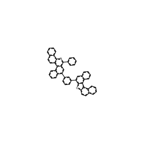 c1ccc(-c2nc3c4ccccc4ccc3c3c2cc(-c2cccc(-c4cc5ccccc5c5c4oc4ccc6ccccc6c45)c2)c2ccccc23)cc1